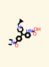 CCN(CC)C(=O)c1ccc(C(=C2CCN(CC3CC3)CC2)c2cccc(NC(=O)O)c2)cc1